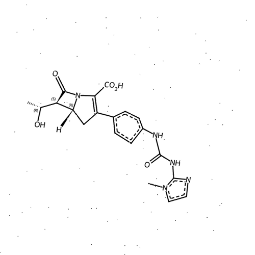 C[C@@H](O)[C@H]1C(=O)N2C(C(=O)O)=C(c3ccc(NC(=O)Nc4nccn4C)cc3)C[C@H]12